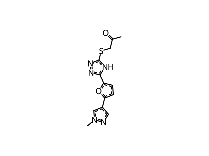 CC(=O)CSc1nnc(-c2ccc(-c3cnn(C)c3)o2)[nH]1